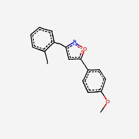 COc1ccc(-c2cc(-c3ccccc3C)no2)cc1